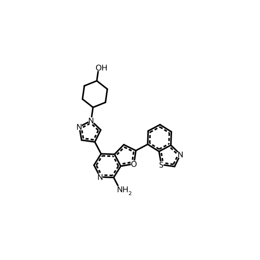 Nc1ncc(-c2cnn(C3CCC(O)CC3)c2)c2cc(-c3cccc4ncsc34)oc12